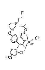 CC(C)Oc1ccc(C2=C(c3ccc(O[C@H]4CCN(CCCF)C4)cc3)c3ccc(O)cc3OCC2)c(C(F)(F)F)c1.Cl